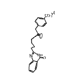 O=C(CCCc1nc2ccccc2c(=O)[nH]1)Cc1ccc(C(=O)O)cc1